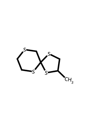 CC1CSC2(CSCCS2)S1